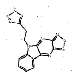 c1ccc2c(c1)c1nc3nonc3nc1n2CCc1nn[nH]n1